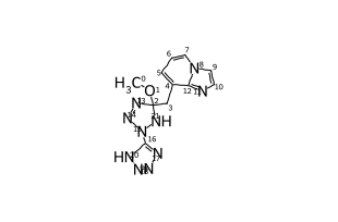 COC1(Cc2cccn3ccnc23)N=NN(c2nnn[nH]2)N1